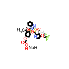 Cc1c(OCC(F)(F)F)ccnc1C[S+]([O-])c1nc2ccccc2n1S(=O)(=O)c1ccc(OCC(=O)O)cc1C(C)C.[NaH]